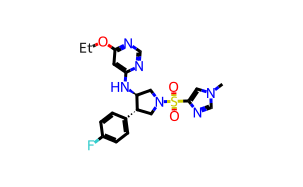 CCOc1cc(N[C@H]2CN(S(=O)(=O)c3cn(C)cn3)C[C@@H]2c2ccc(F)cc2)ncn1